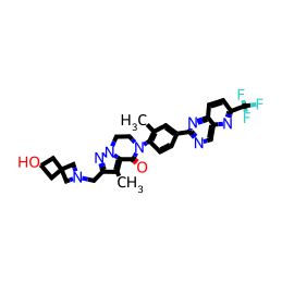 Cc1cc(-c2ncc3nc(C(F)(F)F)ccc3n2)ccc1N1CCn2nc(CN3CC4(CC(O)C4)C3)c(C)c2C1=O